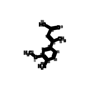 COc1cc(C(C)=CC(=O)O)ccc1N